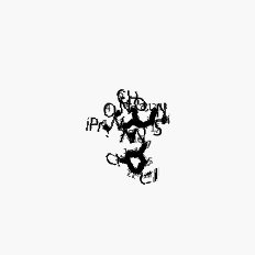 CC(C)Cn1c(=O)n(C)c(=O)c2c(-c3cncs3)n(Cc3cc(Cl)cc(Cl)c3)nc21